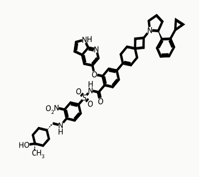 C[C@]1(O)CC[C@H](CNc2ccc(S(=O)(=O)NC(=O)c3ccc(C4=CCC5(CC4)CC(N4CCC[C@H]4c4ccccc4C4CC4)C5)cc3Oc3cnc4[nH]ccc4c3)cc2[N+](=O)[O-])CC1